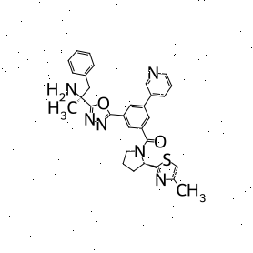 Cc1csc([C@H]2CCCN2C(=O)c2cc(-c3cccnc3)cc(-c3nnc([C@@](C)(N)Cc4ccccc4)o3)c2)n1